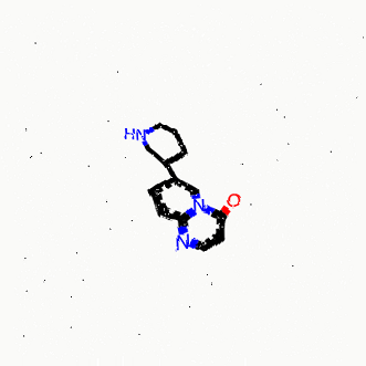 O=c1ccnc2ccc(C3CCCNC3)cn12